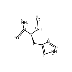 CCN[C@@H](Cc1c[nH]cn1)C(N)=O